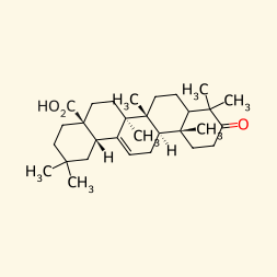 CC1(C)CC[C@]2(C(=O)O)CC[C@]3(C)C(=CC[C@@H]4[C@@]5(C)CCC(=O)C(C)(C)C5CC[C@]43C)[C@@H]2C1